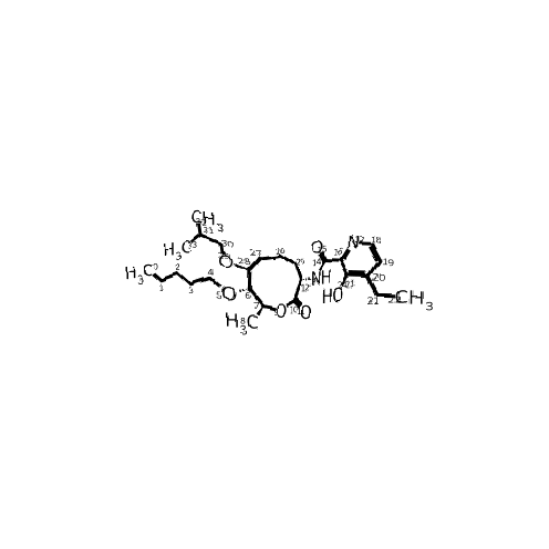 CCCCCO[C@H]1[C@H](C)OC(=O)[C@@H](NC(=O)c2nccc(CC)c2O)CCC[C@@H]1OCC(C)C